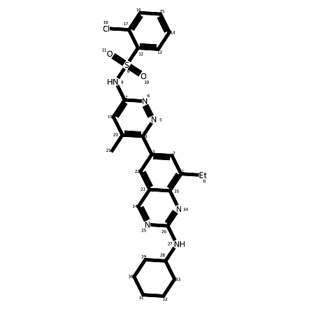 CCc1cc(-c2nnc(NS(=O)(=O)c3ccccc3Cl)cc2C)cc2cnc(NC3CCCCC3)nc12